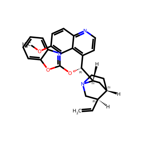 C=C[C@H]1CN2CC[C@H]1C[C@H]2[C@H](Oc1nc2ccccc2o1)c1ccnc2ccc(OC)cc12